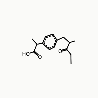 CCC(=O)C(C)Cc1ccc(C(C)C(=O)O)cc1